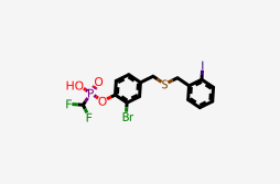 O=P(O)(Oc1ccc(CSCc2ccccc2I)cc1Br)C(F)F